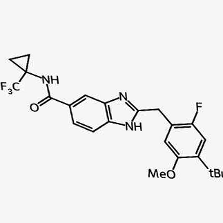 COc1cc(Cc2nc3cc(C(=O)NC4(C(F)(F)F)CC4)ccc3[nH]2)c(F)cc1C(C)(C)C